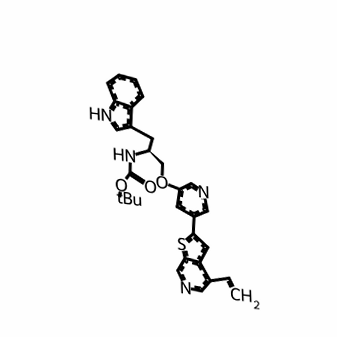 C=Cc1cncc2sc(-c3cncc(OC[C@H](Cc4c[nH]c5ccccc45)NC(=O)OC(C)(C)C)c3)cc12